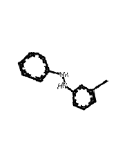 Cc1cccc(NNc2ccccc2)c1